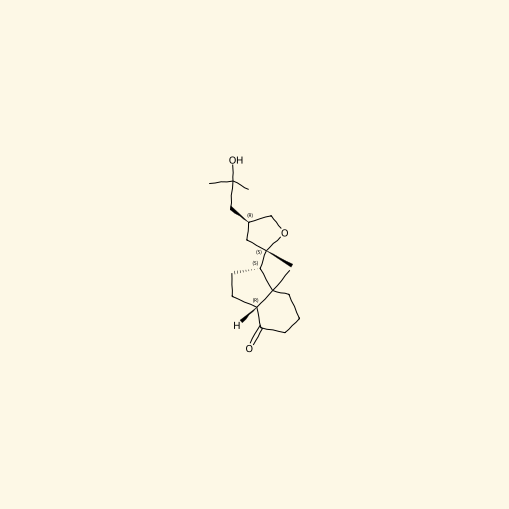 CC(C)(O)C[C@H]1CO[C@](C)([C@H]2CC[C@H]3C(=O)CCCC32C)C1